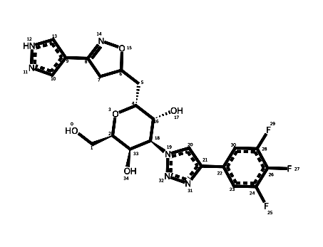 OC[C@H]1O[C@H](CC2CC(c3cn[nH]c3)=NO2)[C@H](O)[C@@H](n2cc(-c3cc(F)c(F)c(F)c3)nn2)[C@H]1O